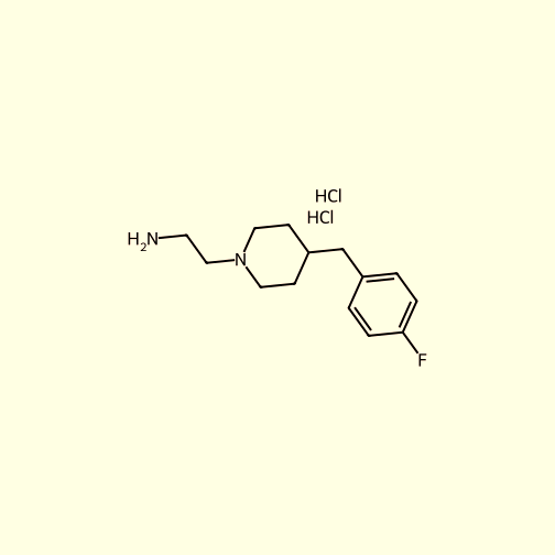 Cl.Cl.NCCN1CCC(Cc2ccc(F)cc2)CC1